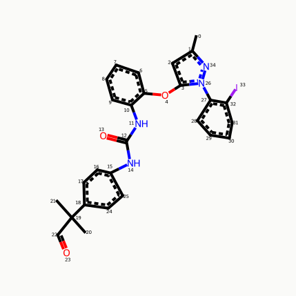 Cc1cc(Oc2ccccc2NC(=O)Nc2ccc(C(C)(C)C=O)cc2)n(-c2ccccc2I)n1